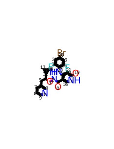 O=C(NOC(Cc1cccnc1)C1CC1)c1c[nH]c(=O)c(F)c1Nc1ccc(Br)cc1F